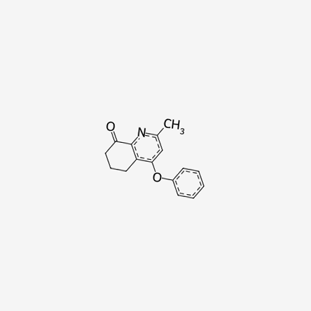 Cc1cc(Oc2ccccc2)c2c(n1)C(=O)CCC2